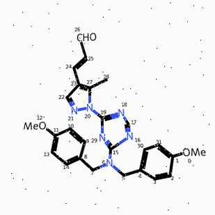 COc1ccc(CN(Cc2ccc(OC)cc2)c2ncnc(-n3ncc(C=CC=O)c3C)n2)cc1